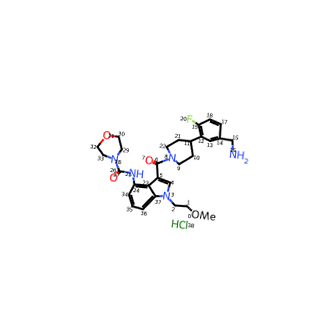 COCCn1cc(C(=O)N2CCC(c3cc(CN)ccc3F)CC2)c2c(NC(=O)N3CCOCC3)cccc21.Cl